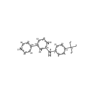 CC(C)(C)c1ccc(Nc2nccc(-c3ccncc3)n2)cc1